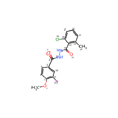 COc1ccc(C(=O)NNC(=O)c2c(C)cccc2Cl)cc1I